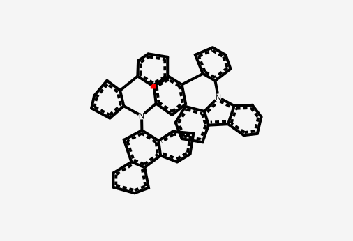 c1ccc(-c2ccccc2N(c2ccc(-c3ccccc3-n3c4ccccc4c4ccccc43)cc2)c2cc3ccccc3c3ccccc23)cc1